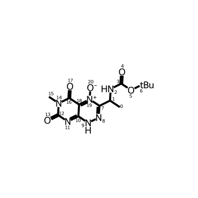 CC(NC(=O)OC(C)(C)C)c1n[nH]c2nc(=O)n(C)c(=O)c-2[n+]1[O-]